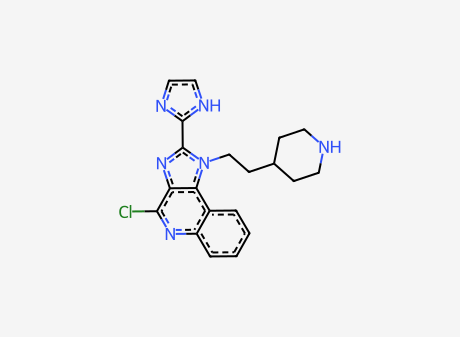 Clc1nc2ccccc2c2c1nc(-c1ncc[nH]1)n2CCC1CCNCC1